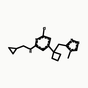 Cn1cnnc1CC1(c2cc(Cl)nc(NCC3CC3)c2)CCC1